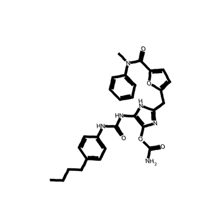 CCCCc1ccc(NC(=O)Nc2[nH]c(Cc3ccc(C(=O)N(C)c4ccccc4)o3)nc2OC(N)=O)cc1